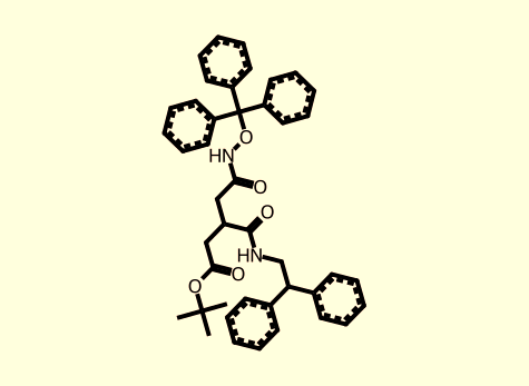 CC(C)(C)OC(=O)CC(CC(=O)NOC(c1ccccc1)(c1ccccc1)c1ccccc1)C(=O)NCC(c1ccccc1)c1ccccc1